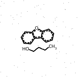 CCCCO.c1ccc2c(c1)oc1ccccc12